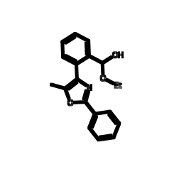 CCOC(O)c1ccccc1-c1nc(-c2ccccc2)oc1C